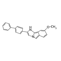 COc1ccc2cn3cc(-c4ccc(-c5ccccc5)cc4)[nH]c3c2c1